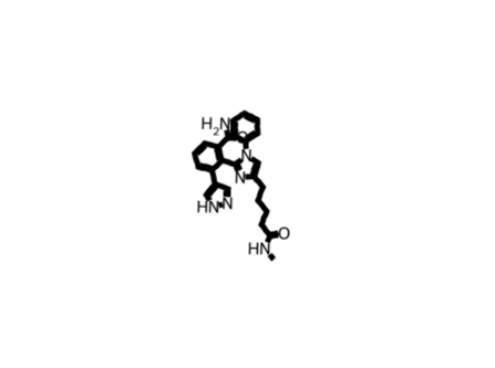 CNC(=O)CCCCc1cn(-c2ccccc2)c(-c2c(C(N)=O)cccc2-c2cn[nH]c2)n1